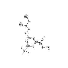 CC(C)(C)c1cc(OCC(O)CO)cc(C(=O)CBr)c1